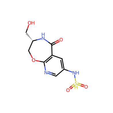 O=C1N[C@@H](CO)COc2ncc(N[SH](=O)=O)cc21